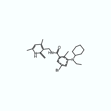 C=C1NC(C)=CC(C)=C1CNC(=O)c1cc(Br)cc(N(CC)C2CCCCC2)c1C